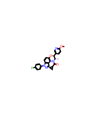 COc1ccc([C@H](Oc2ccc3c(cnn3-c3ccc(F)cc3)c2)[C@H](C)NC(=O)C2CC2)cn1